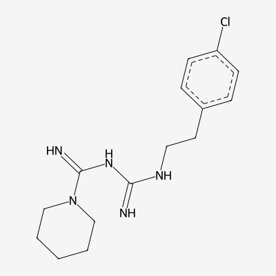 N=C(NCCc1ccc(Cl)cc1)NC(=N)N1CCCCC1